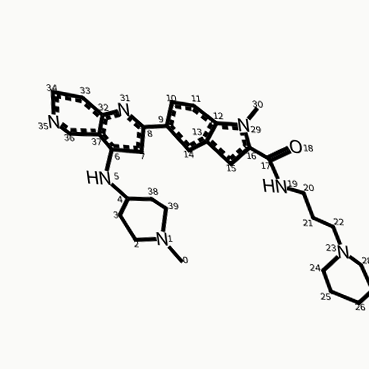 CN1CCC(Nc2cc(-c3ccc4c(c3)cc(C(=O)NCCCN3CCCCC3)n4C)nc3ccncc23)CC1